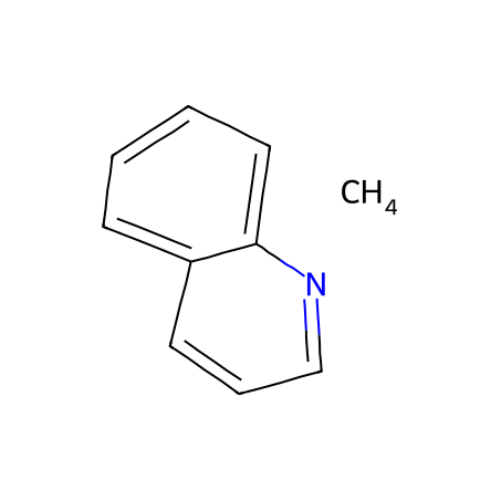 C.c1ccc2ncccc2c1